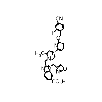 C[C@H]1CN(c2cccc(OCc3ccc(C#N)cc3F)n2)CCN1Cc1nc2ccc(C(=O)O)cc2n1Cc1cocn1